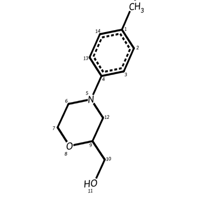 Cc1ccc(N2CCOC(CO)C2)cc1